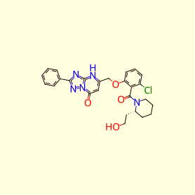 O=C(c1c(Cl)cccc1OCc1cc(=O)n2nc(-c3ccccc3)nc2[nH]1)N1CCCC[C@@H]1CCO